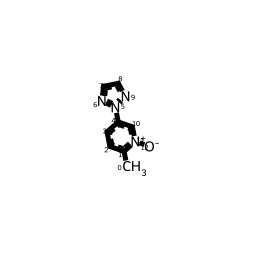 Cc1ccc(-n2nccn2)c[n+]1[O-]